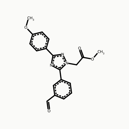 COC(=O)Cn1nc(-c2ccc(OC)cc2)nc1-c1cccc(C=O)c1